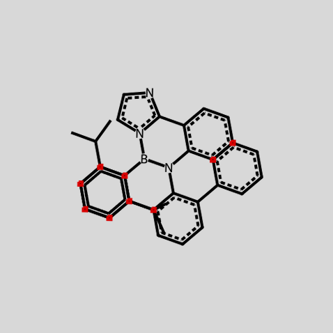 CC(C)c1cccc(C(C)C)c1B1N(c2c(-c3ccccc3)cccc2-c2ccccc2)c2ccccc2-c2nccn21